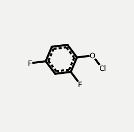 Fc1ccc(OCl)c(F)c1